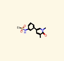 CCS(=O)(=O)Nc1cccc(-c2cc(C)c(=O)n(C)c2)c1